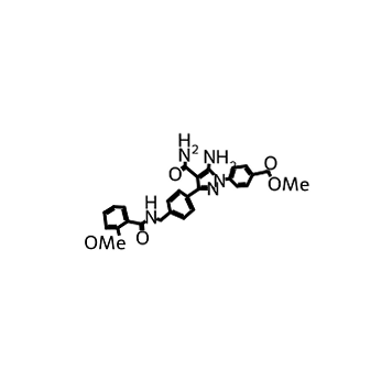 COC(=O)c1ccc(-n2nc(-c3ccc(CNC(=O)c4ccccc4OC)cc3)c(C(N)=O)c2N)cc1